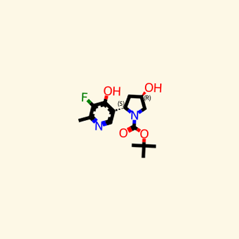 Cc1ncc([C@@H]2C[C@@H](O)CN2C(=O)OC(C)(C)C)c(O)c1F